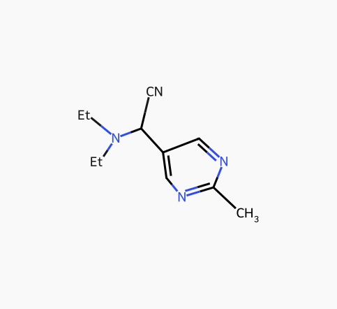 CCN(CC)C(C#N)c1cnc(C)nc1